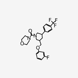 O=C(N1CCOCC1)N1CC(COc2cccc(F)c2)CC(c2ccc(C(F)(F)F)cc2)C1